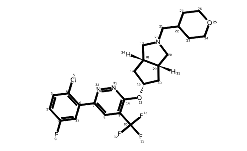 Fc1ccc(Cl)c(-c2cc(C(F)(F)F)c(O[C@@H]3C[C@@H]4CN(CC5CCOCC5)C[C@@H]4C3)nn2)c1